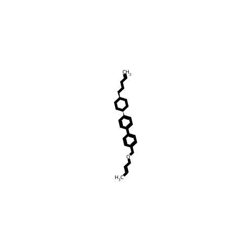 C=CCCC[C@H]1CC[C@H](c2ccc(-c3ccc(COC/C=C/C)cc3)cc2)CC1